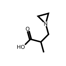 CC(CN1CC1)C(=O)O